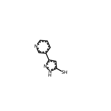 Sc1cc(-c2cccnc2)n[nH]1